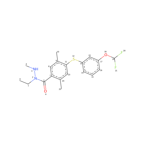 CCN(NC)C(=O)c1cc(C)c(Sc2cccc(OC(F)F)c2)cc1C